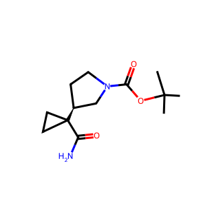 CC(C)(C)OC(=O)N1CC[C@H](C2(C(N)=O)CC2)C1